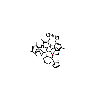 Cc1cc(C)c(-n2c(C)c(C)n(-c3c(C)cc(C)cc3C)c2=P(C2CCCCC2)(C2CCCCC2)C2CCCCC2=Cc2cccs2)c(C)c1.[Cl][Ru][Cl]